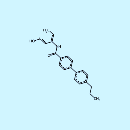 CC=C(C=NO)NC(=O)c1ccc(-c2ccc(CCC)cc2)cc1